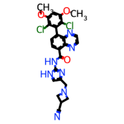 COc1cc(OC)c(Cl)c(-c2ccc(C(=O)Nc3nc(CN4CC(C#N)C4)c[nH]3)c3nccnc23)c1Cl